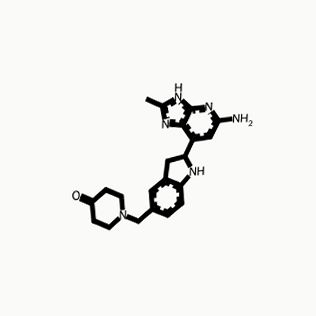 Cc1nc2c(C3Cc4cc(CN5CCC(=O)CC5)ccc4N3)cc(N)nc2[nH]1